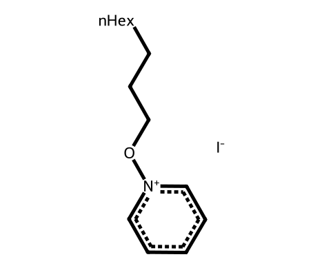 CCCCCCCCCO[n+]1ccccc1.[I-]